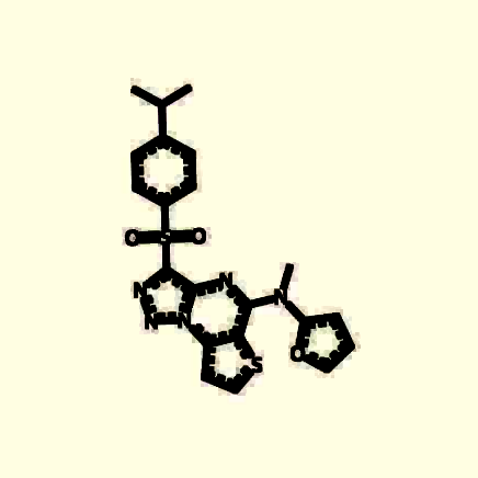 CC(C)c1ccc(S(=O)(=O)c2nnn3c2nc(N(C)c2ccco2)c2sccc23)cc1